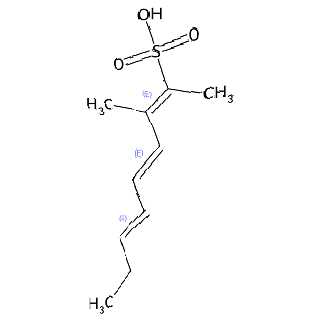 CC/C=C/C=C/C(C)=C(\C)S(=O)(=O)O